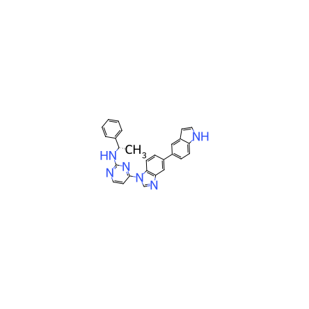 C[C@H](Nc1nccc(-n2cnc3cc(-c4ccc5[nH]ccc5c4)ccc32)n1)c1ccccc1